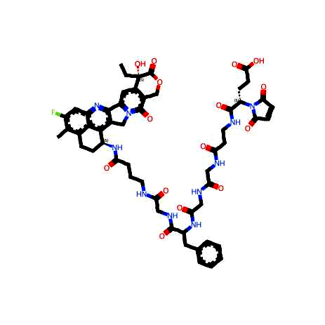 CC[C@@]1(O)C(=O)OCc2c1cc1n(c2=O)Cc2c-1nc1cc(F)c(C)c3c1c2[C@@H](NC(=O)CCCNC(=O)CNC(=O)C(Cc1ccccc1)NC(=O)CNC(=O)CNC(=O)CCNC(=O)[C@H](CCC(=O)O)N1C(=O)C=CC1=O)CC3